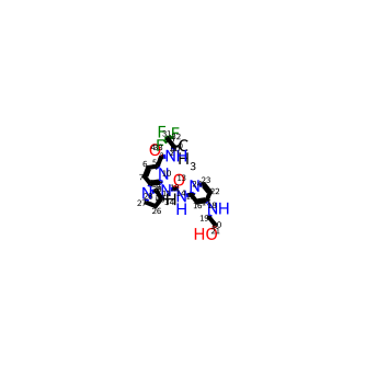 C[C@@H](NC(=O)c1ccc2c(n1)N(C(=O)Nc1cc(NCCO)ccn1)[C@H]1CCN2C1)C(F)(F)F